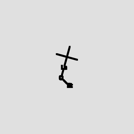 CC[O][La][C](C)(C)C